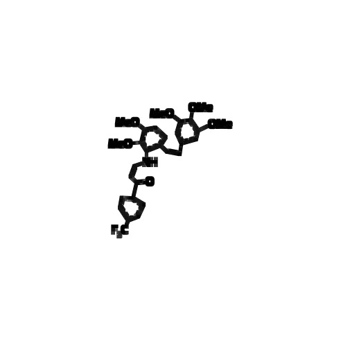 COc1cc(/C=C\c2ccc(OC)c(OC)c2N/C=C\C(=O)c2ccc(C(F)(F)F)cc2)cc(OC)c1OC